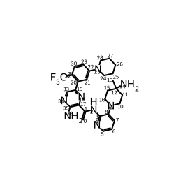 C=C(Nc1ncccc1N1CCC(C)(N)CC1)c1nc(-c2cc(N3CCCCC3)ccc2C(F)(F)F)cnc1N